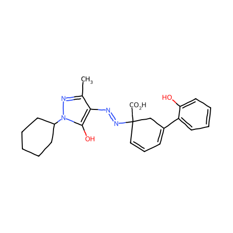 Cc1nn(C2CCCCC2)c(O)c1N=NC1(C(=O)O)C=CC=C(c2ccccc2O)C1